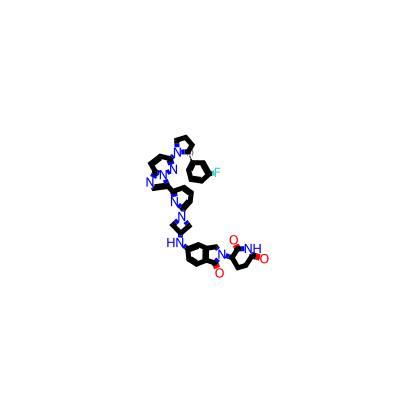 O=C1CCC(N2Cc3cc(NC4CN(c5cccc(-c6cnc7ccc(N8CCC[C@@H]8c8cccc(F)c8)nn67)n5)C4)ccc3C2=O)C(=O)N1